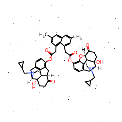 Cc1cc(CC(=O)Oc2ccc3c4c2C[C@H]2C(=O)CC[C@@]5(O)[C@@H](C3)N(CC3CC3)CC[C@]425)c2c(CC(=O)Oc3ccc4c5c3O[C@H]3C(=O)CC[C@@]6(O)[C@@H](C4)N(CC4CC4)CC[C@]536)cc(C)cc2c1